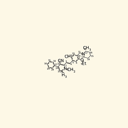 C=NC(/C=C/c1cc(OCC)c(CN2CCCC[C@H]2C)cc1Cl)=C(C#N)\C(=C/C)c1ccccc1